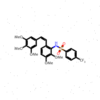 COc1cc(/C=C\c2ccc(OC)c(OC)c2NS(=O)(=O)c2ccc(C(F)(F)F)cc2)cc(OC)c1OC